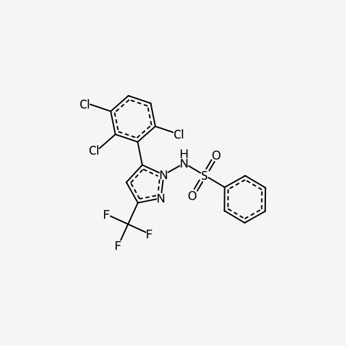 O=S(=O)(Nn1nc(C(F)(F)F)cc1-c1c(Cl)ccc(Cl)c1Cl)c1ccccc1